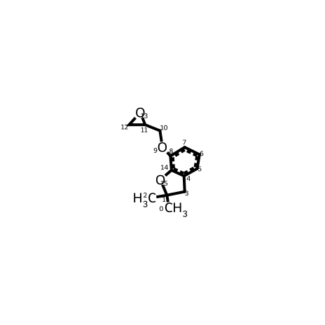 CC1(C)Cc2cccc(OCC3CO3)c2O1